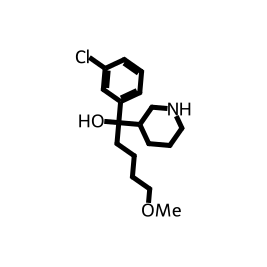 COCCCCC(O)(c1cccc(Cl)c1)C1CCCNC1